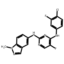 Cn1ncc2cc(Nc3ncc(F)c(Nc4ccc(Cl)c(F)c4)n3)ccc21